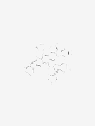 c1ccc(-c2c(-c3cccc4c3sc3ccccc34)c3cc4c5ccccc5n(-c5ccccc5)c4cc3c3cc4c(cc23)oc2ccccc24)cc1